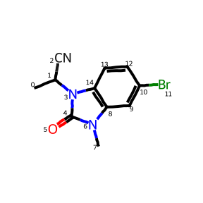 CC(C#N)n1c(=O)n(C)c2cc(Br)ccc21